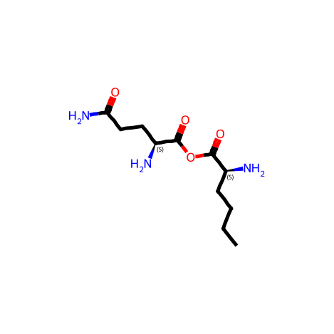 CCCC[C@H](N)C(=O)OC(=O)[C@@H](N)CCC(N)=O